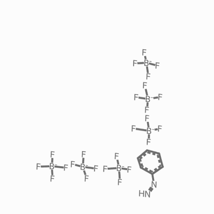 F[B-](F)(F)F.F[B-](F)(F)F.F[B-](F)(F)F.F[B-](F)(F)F.F[B-](F)(F)F.F[B-](F)(F)F.N=Nc1ccccc1